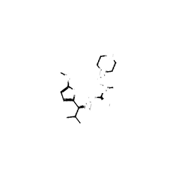 CSc1ccc(C(=NOC(=O)N(C)SN2CCOCC2)C(C)C)s1